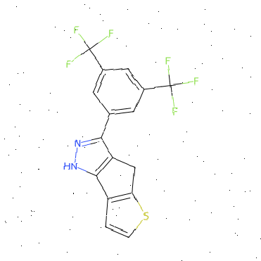 FC(F)(F)c1cc(-c2n[nH]c3c2Cc2sccc2-3)cc(C(F)(F)F)c1